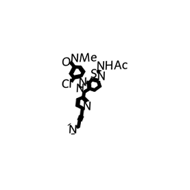 CNC(=O)c1ccc(-n2nc(-c3ccc(C#CCN(C)C)nc3)c3c2-c2sc(NC(C)=O)nc2CC3)c(Cl)c1